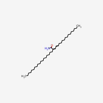 CCCCCCCCCCCCCC=CC=C(CCCCCCCCCCCCCCCCCC)C(N)=O